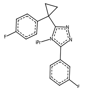 CC(C)n1c(-c2cccc(F)c2)nnc1C1(c2ccc(F)cc2)CC1